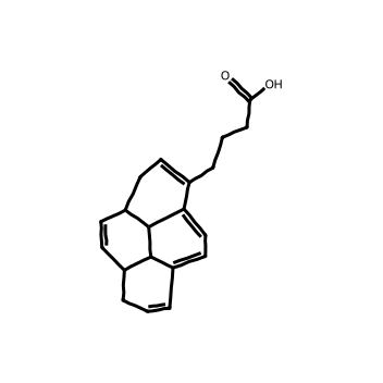 O=C(O)CCCC1=CCC2C=CC3CC=CC4=CC=C1C2C43